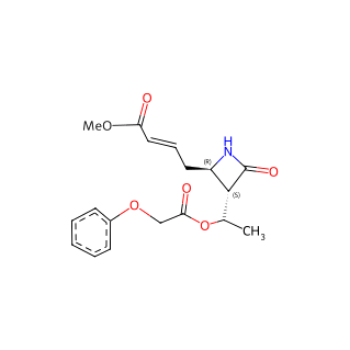 COC(=O)C=CC[C@H]1NC(=O)[C@@H]1C(C)OC(=O)COc1ccccc1